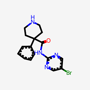 O=C(Nc1ncc(Br)cn1)C1(c2ccccc2)CCNCC1